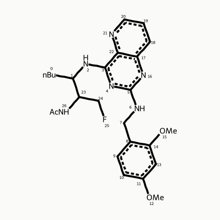 CCCCC(Nc1nc(NCc2ccc(OC)cc2OC)nc2cccnc12)C(CF)NC(C)=O